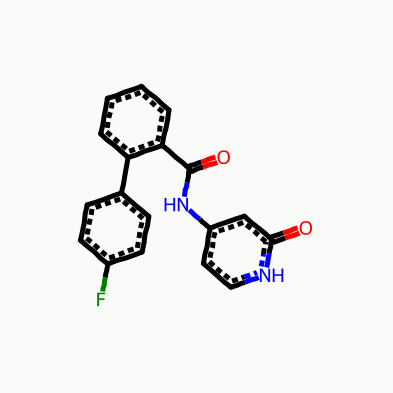 O=C(Nc1cc[nH]c(=O)c1)c1ccccc1-c1ccc(F)cc1